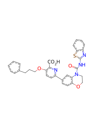 O=C(O)c1nc(-c2ccc3c(c2)N(C(=O)Nc2nc4ccccc4s2)CCO3)ccc1OCCCc1ccccc1